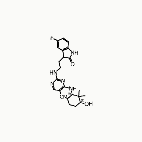 CC1(C)[C@@H](O)CCC[C@H]1Nc1nc(NCCC2C(=O)Nc3ccc(F)cc32)ncc1C#N